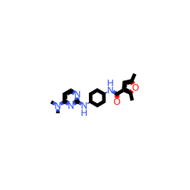 Cc1cc(C(=O)N[C@H]2CC[C@@H](Nc3nccc(N(C)C)n3)CC2)c(C)o1